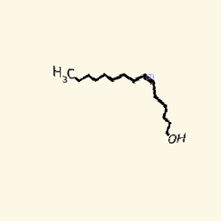 CCCCCCCC/C=C\CCCCCO